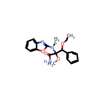 CCOC(c1ccccc1)C(OC)(C(N)=O)N(C)c1nc2ccccc2o1